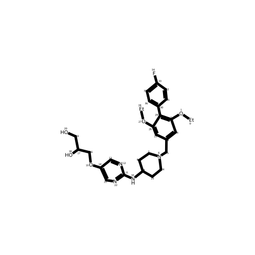 CCOc1cc(CN2CCC(Nc3ncc(OCC(O)CO)cn3)CC2)cc(OCC)c1-c1ccc(F)cc1